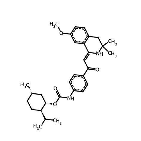 COc1ccc2c(c1)/C(=C/C(=O)c1ccc(NC(=O)O[C@H]3C[C@@H](C)CC[C@@H]3C(C)C)cc1)NC(C)(C)C2